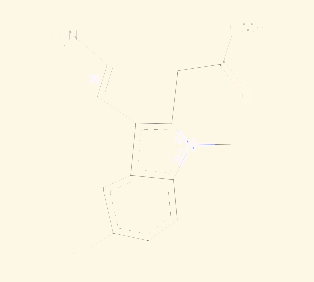 COC(=O)Cc1c(/C=C/[N+](=O)[O-])c2cc(Br)ccc2n1C